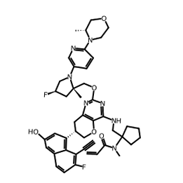 C#Cc1c(F)ccc2cc(O)cc([C@H]3COc4c(nc(OC[C@]5(C)C[C@@H](F)CN5c5ccc(N6CCOC[C@H]6C)nc5)nc4NCC4(N(C)C(=O)C=C)CCCC4)C3)c12